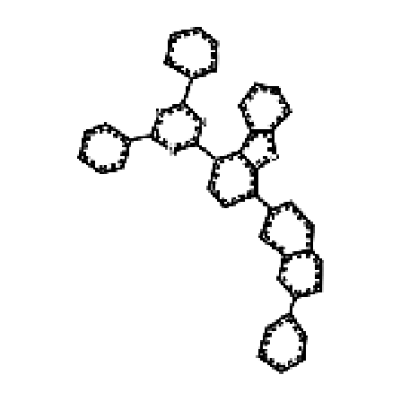 c1ccc(-c2ccc3ccc(-c4ccc(-c5nc(-c6ccccc6)nc(-c6ccccc6)n5)c5c4oc4ccccc45)cc3c2)cc1